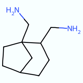 NCC1CCC2CCC1(CN)C2